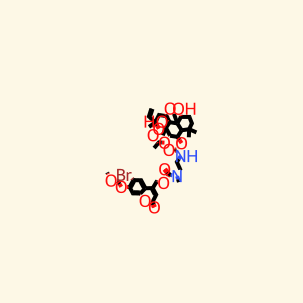 C=CC1(C)CC(=O)C2(O)C(C)(O1)C(OC(C)=O)C(OC(=O)NCCN(C)C(=O)OCc1cc(=O)oc3cc(OCOC)c(Br)cc13)C1C(C)(C)CCC(O)C12C